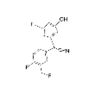 N#CC(c1cc(O)cc(F)c1)c1ccc(F)c(CF)c1